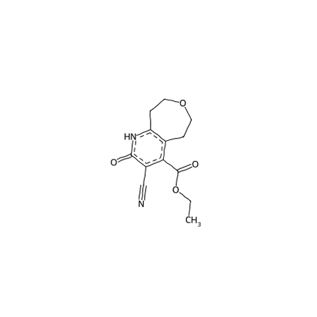 CCOC(=O)c1c2c([nH]c(=O)c1C#N)CCOCC2